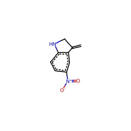 C=C1CNc2ccc([N+](=O)[O-])cc21